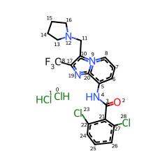 Cl.Cl.O=C(Nc1cccn2c(CN3CCCC3)c(C(F)(F)F)nc12)c1c(Cl)cccc1Cl